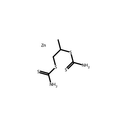 CC(CSC(N)=S)SC(N)=S.[Zn]